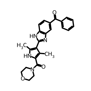 Cc1[nH]c(C(=O)N2CCOCC2)c(C)c1-c1nc2cc(C(=O)c3ccccc3)ccc2[nH]1